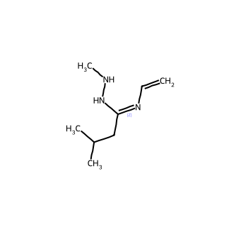 C=C/N=C(/CC(C)C)NNC